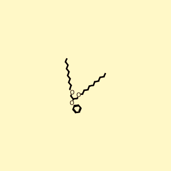 CCCCCCCCCCOCC(COCCCCCCCCCC)Oc1ccccc1